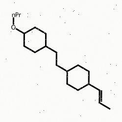 C/C=C/C1CCC(CCC2CCC(OCCC)CC2)CC1